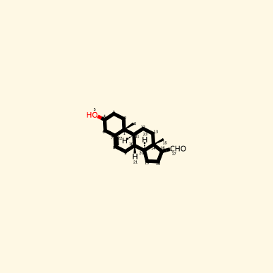 C[C@]12CCC(O)CC1=CC[C@@H]1[C@@H]2CC[C@]2(C)C(C=O)CC[C@@H]12